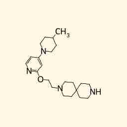 CC1CCN(c2ccnc(OCCN3CCC4(CCNCC4)CC3)c2)CC1